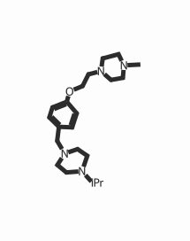 CC(C)N1CCN(Cc2ccc(OCCN3CCN(C)CC3)cc2)CC1